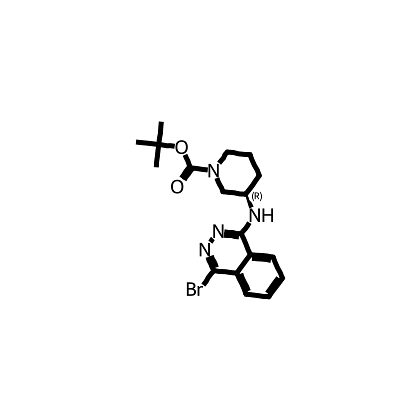 CC(C)(C)OC(=O)N1CCC[C@@H](Nc2nnc(Br)c3ccccc23)C1